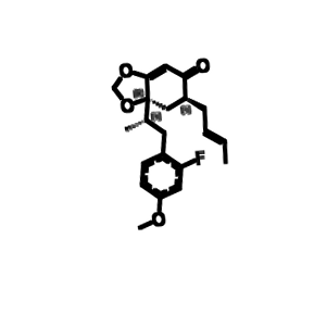 CC=CC[C@H]1C[C@]2([C@@H](C)Cc3ccc(OC)cc3F)OCOC2=CC1=O